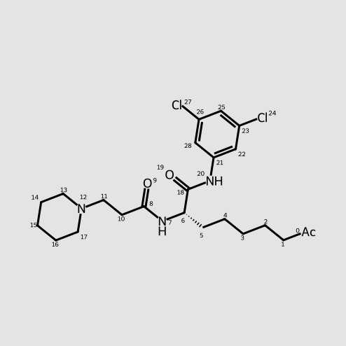 CC(=O)CCCCC[C@H](NC(=O)CCN1CCCCC1)C(=O)Nc1cc(Cl)cc(Cl)c1